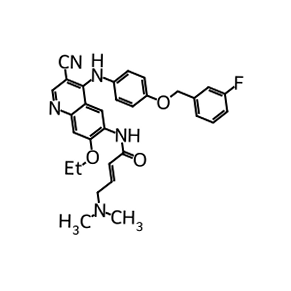 CCOc1cc2ncc(C#N)c(Nc3ccc(OCc4cccc(F)c4)cc3)c2cc1NC(=O)C=CCN(C)C